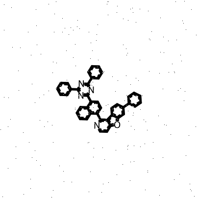 c1ccc(-c2ccc3c(c2)oc2ccnc(-c4ccc(-c5nc(-c6ccccc6)nc(-c6ccccc6)n5)c5ccccc45)c23)cc1